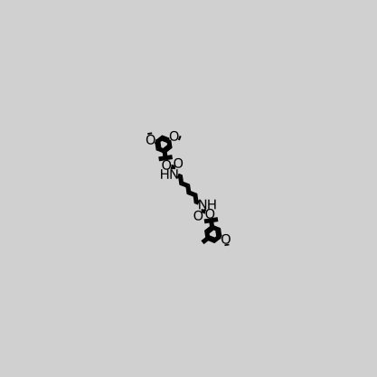 COc1cc(C)cc(C(C)(C)OC(=O)NCCCCCCNC(=O)OC(C)(C)c2cc(OC)cc(OC)c2)c1